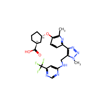 Cc1nc(-c2nnn(C)c2CNc2cc(C(F)(F)F)ncn2)ccc1O[C@H]1CCC[C@H](C(=O)O)C1